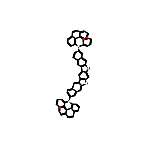 c1ccc(N(c2ccc3cc4c(cc3c2)oc2cc3oc5cc6cc(N(c7ccccc7)c7cccc8ccc9ccccc9c78)ccc6cc5c3cc24)c2cccc3ccc4ccccc4c23)cc1